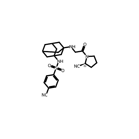 N#Cc1ccc(S(=O)(=O)NC23CC4CC(CC(NCC(=O)N5CCC[C@H]5C#N)(C4)C2)C3)cc1